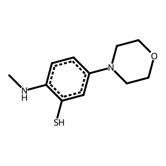 CNc1ccc(N2CCOCC2)cc1S